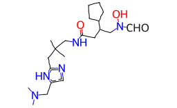 CN(C)Cc1cnc(CC(C)(C)CNC(=O)CC(CN(O)C=O)C2CCCC2)[nH]1